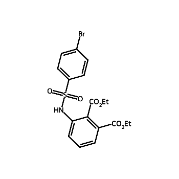 CCOC(=O)c1cccc(NS(=O)(=O)c2ccc(Br)cc2)c1C(=O)OCC